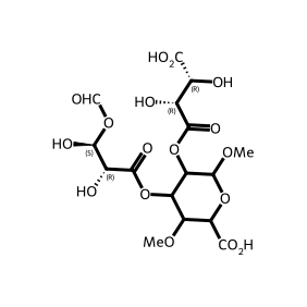 COC1OC(C(=O)O)C(OC)C(OC(=O)[C@H](O)[C@@H](O)OC=O)C1OC(=O)[C@H](O)[C@@H](O)C(=O)O